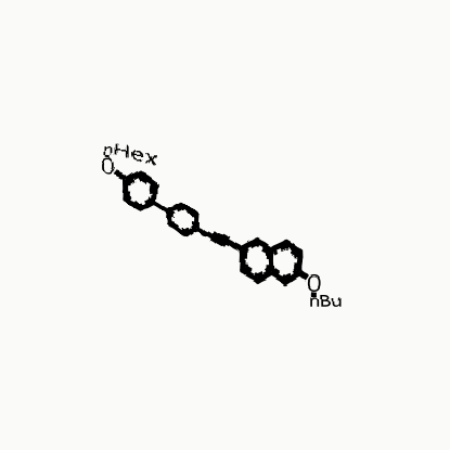 CCCCCCOc1ccc(-c2ccc(C#Cc3ccc4cc(OCCCC)ccc4c3)cc2)cc1